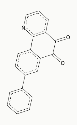 O=C1C(=O)c2cccnc2-c2ccc(-c3ccccc3)cc21